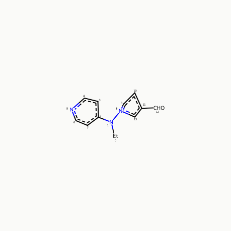 CCN(c1ccncc1)n1ccc(C=O)c1